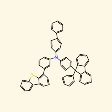 c1ccc(-c2ccc(N(c3ccc(C4(c5ccccc5)c5ccccc5-c5ccccc54)cc3)c3cccc(-c4cccc5c4sc4ccccc45)c3)cc2)cc1